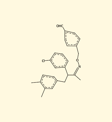 CC(=NOCc1ccc(C=O)cc1)C(Cc1ccc(C)c(C)c1)c1cccc(Cl)c1